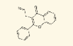 C=CCc1c(-c2ccccc2)oc2ccccc2c1=O